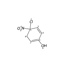 O=[N+]([O-])C1(Cl)C=CC(O)=CC1